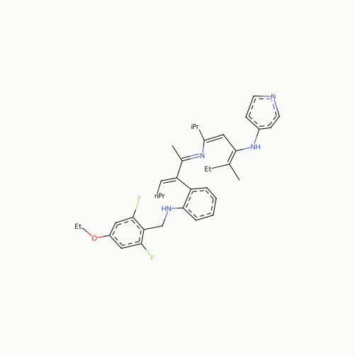 CCCC=C(/C(C)=N/C(=C\C(Nc1ccncc1)=C(\C)CC)C(C)C)c1ccccc1NCc1c(F)cc(OCC)cc1F